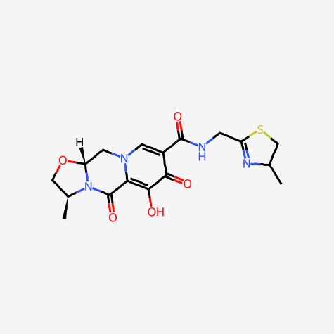 CC1CSC(CNC(=O)c2cn3c(c(O)c2=O)C(=O)N2[C@@H](C)CO[C@@H]2C3)=N1